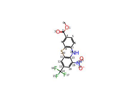 COC(=O)c1ccc2c(c1)Sc1cc(C(F)(F)F)cc([N+](=O)[O-])c1N2